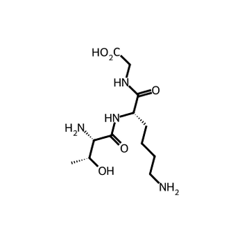 C[C@@H](O)[C@H](N)C(=O)N[C@@H](CCCCN)C(=O)NCC(=O)O